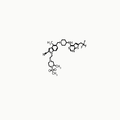 Cc1c(CN2CCC(Nc3ncnc4sc(CC(F)(F)F)cc34)CC2)ccc2c1cc(C#N)n2CCN1CCN(S(C)(=O)=O)C(C)C1